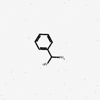 CCCC(P)c1ccccc1